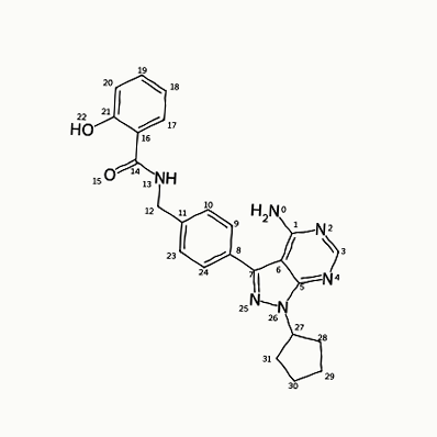 Nc1ncnc2c1c(-c1ccc(CNC(=O)c3ccccc3O)cc1)nn2C1CCCC1